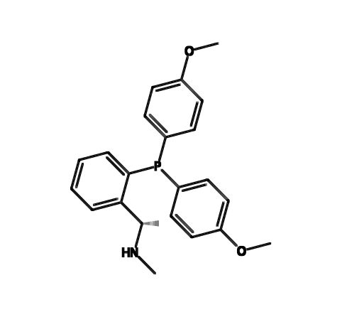 CN[C@@H](C)c1ccccc1P(c1ccc(OC)cc1)c1ccc(OC)cc1